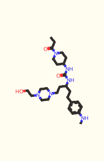 CCC(=O)N1CCC(NC(=O)NC(CCc2ccc(NC)cc2)CCN2CCN(CCO)CC2)CC1